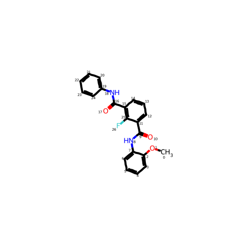 COc1ccccc1NC(=O)c1cccc(C(=O)Nc2ccccc2)c1F